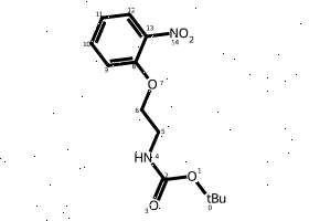 CC(C)(C)OC(=O)NCCOc1ccccc1[N+](=O)[O-]